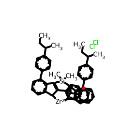 CCC(C)c1ccc(-c2cccc3c2C2=C(c4ccccc4)[CH]3[Zr+2][CH]3C(c4ccccc4)=C(c4c(-c5ccc(C(C)CC)cc5)cccc43)[Si]2(C)C)cc1.[Cl-].[Cl-]